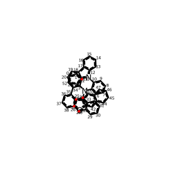 c1ccc(N(c2ccccc2-n2c3ccccc3c3ccccc32)c2cccc3ccccc23)c(-c2cccc3oc4cc5ccccc5cc4c23)c1